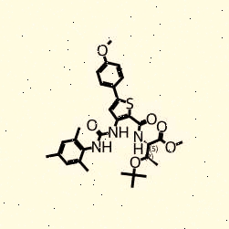 COC(=O)[C@@H](NC(=O)c1sc(-c2ccc(OC)cc2)cc1NC(=O)Nc1c(C)cc(C)cc1C)[C@@H](C)OC(C)(C)C